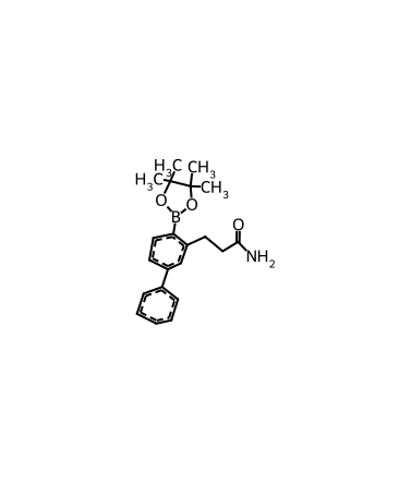 CC1(C)OB(c2ccc(-c3ccccc3)cc2CCC(N)=O)OC1(C)C